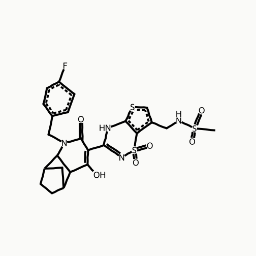 CS(=O)(=O)NCc1csc2c1S(=O)(=O)N=C(C1=C(O)C3C4CCC(C4)C3N(Cc3ccc(F)cc3)C1=O)N2